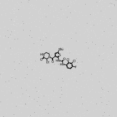 CCC1C(=O)NCCN1C(=O)c1cc(C(C)(C)C)sc1NC(=O)Nc1ccc(F)c(Cl)c1Cl